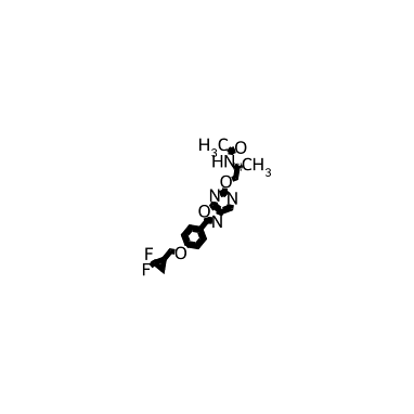 CC(=O)N[C@@H](C)COc1ncc2nc(-c3ccc(OCC4CC4(F)F)cc3)oc2n1